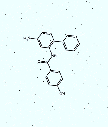 Nc1ccc(-c2ccccc2)c(NC(=O)c2ccc(O)cc2)c1